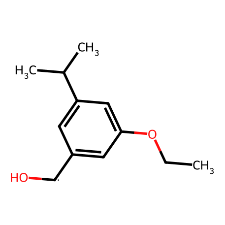 CCOc1cc([CH]O)cc(C(C)C)c1